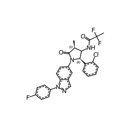 C[C@@H]1C(=O)N(c2ccc3c(cnn3-c3ccc(F)cc3)c2)[C@H](c2ccccc2Cl)C1NC(=O)C(C)(F)F